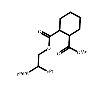 CCCCCC(CCC)COC(=O)C1CCCCC1C(=O)OC